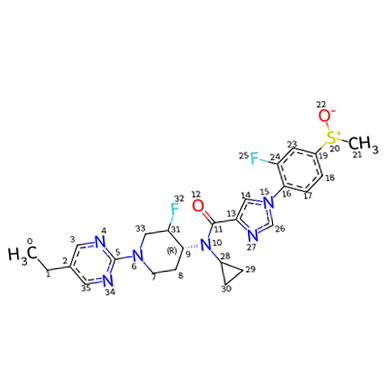 CCc1cnc(N2CC[C@@H](N(C(=O)c3cn(-c4ccc([S+](C)[O-])cc4F)cn3)C3CC3)C(F)C2)nc1